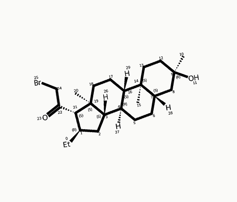 CC[C@@H]1C[C@H]2[C@@H]3CC[C@H]4C[C@](C)(O)CC[C@]4(C)[C@H]3CC[C@]2(C)[C@H]1C(=O)CBr